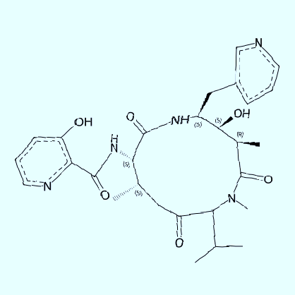 CC(C)C1C(=O)C[C@H](C)[C@H](NC(=O)c2ncccc2O)C(=O)N[C@@H](Cc2cccnc2)[C@@H](O)[C@@H](C)C(=O)N1C